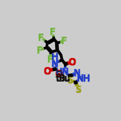 CC(C)(C)OC(=O)NC(Cc1c(F)c(F)c(F)c(F)c1F)C(=O)Nc1n[nH]c(=S)s1